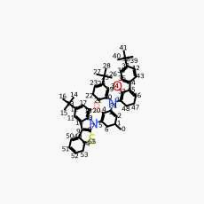 CC1C=C2C3=C(C1)n1c4c(c5cc(C(C)(C)C)cc(c51)B3C1CC=C(C(C)(C)C)C=C1N2C1=c2oc3cc(C(C)(C)C)ccc3c2=CCC1)C1=CC=CCC1S4